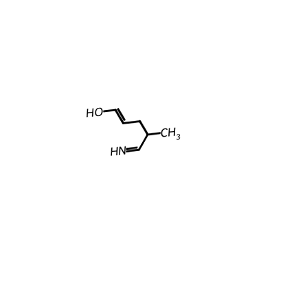 CC(C=N)CC=CO